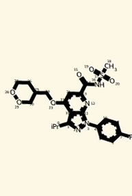 CC(C)c1nn(-c2ccc(F)cc2)c2nc(C(=O)NS(C)(=O)=O)cc(OCC3CCOOC3)c12